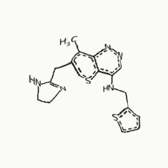 Cc1c(CC2=NCCN2)sc2c(NCc3cccs3)cnnc12